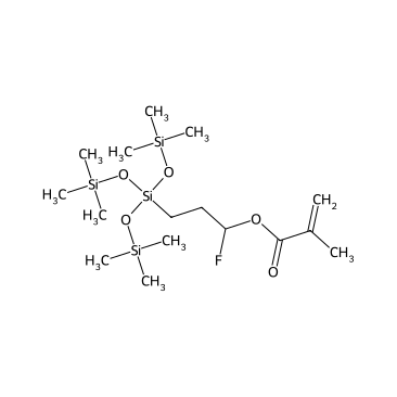 C=C(C)C(=O)OC(F)CC[Si](O[Si](C)(C)C)(O[Si](C)(C)C)O[Si](C)(C)C